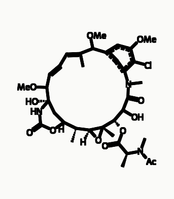 COc1cc2cc(c1Cl)N(C)C(=O)C(O)[C@H](OC(=O)[C@H](C)N(C)C(C)=O)[C@]1(C)O[C@H]1[C@H](C)[C@@H]1C[C@@](O)(NC(=O)O1)C(OC)/C=C/C=C(\C)C2OC